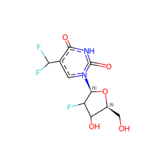 O=c1[nH]c(=O)n([C@H]2O[C@@H](CO)C(O)C2F)cc1C(F)F